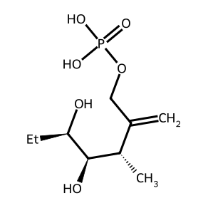 C=C(COP(=O)(O)O)[C@H](C)[C@@H](O)[C@H](O)CC